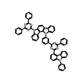 c1ccc(-c2nc(-c3cccc(-n4c5ccccc5c5ccc6c(c7ccccc7n6-c6nc(-c7ccccc7)nc(-c7ccccc7)n6)c54)c3)nc(-c3cccc4c3c3ccccc3n4-c3ccccc3)n2)cc1